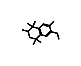 CCc1cc2c(cc1C)C(C)(C)C(C)CC2(C)C